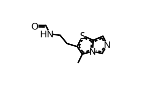 Cc1c(CCNC=O)sc2cncn12